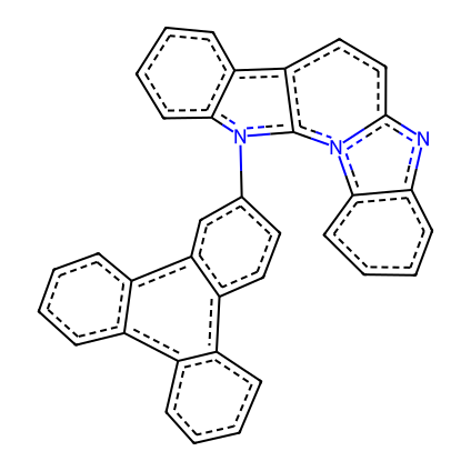 c1ccc2c(c1)nc1ccc3c4ccccc4n(-c4ccc5c6ccccc6c6ccccc6c5c4)c3n12